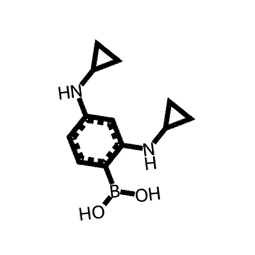 OB(O)c1ccc(NC2CC2)cc1NC1CC1